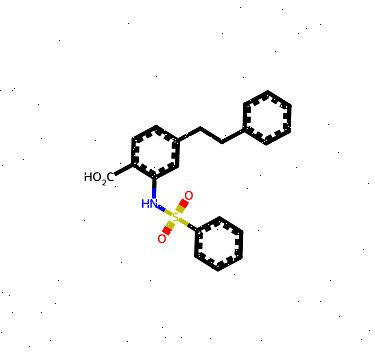 O=C(O)c1ccc(CCc2ccccc2)cc1NS(=O)(=O)c1ccccc1